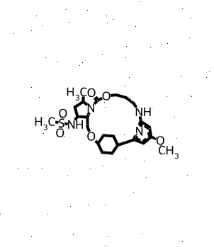 COc1cc2nc(c1)C1CCC(CC1)OCC1C(NS(C)(=O)=O)CC(C)N1C(=O)OCCCN2